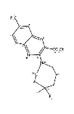 CCOC(=O)c1cc2cc(C(F)(F)F)ccc2nc1N1CCCC(F)(F)CC1